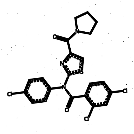 O=C(c1csc(N(C(=O)c2ccc(Cl)cc2Cl)c2ccc(Cl)cc2)n1)N1CCCC1